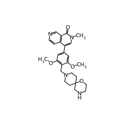 COc1cc(-c2cn(C)c(=O)c3cnccc23)cc(OC)c1CN1CCC2(CC1)CNCCO2